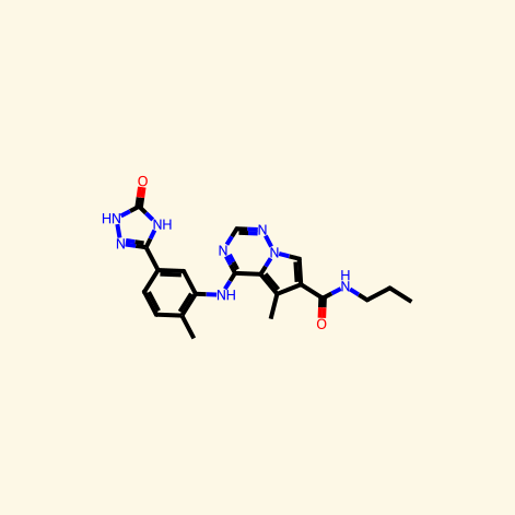 CCCNC(=O)c1cn2ncnc(Nc3cc(-c4n[nH]c(=O)[nH]4)ccc3C)c2c1C